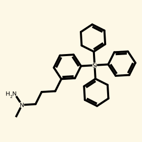 CN(N)CCCc1cccc([Si](C2=CC=CCC2)(C2=CC=CCC2)c2ccccc2)c1